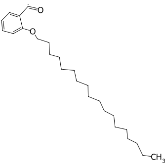 CCCCCCCCCCCCCCCCCCOc1ccccc1[C]=O